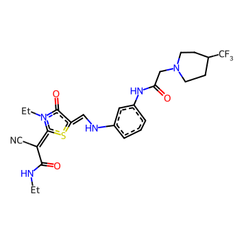 CCNC(=O)C(C#N)=c1sc(=CNc2cccc(NC(=O)CN3CCC(C(F)(F)F)CC3)c2)c(=O)n1CC